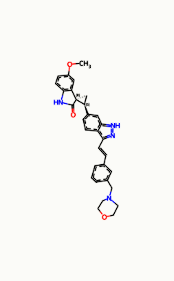 COc1ccc2c(c1)[C@]1(C[C@H]1c1ccc3c(C=Cc4cccc(CN5CCOCC5)c4)n[nH]c3c1)C(=O)N2